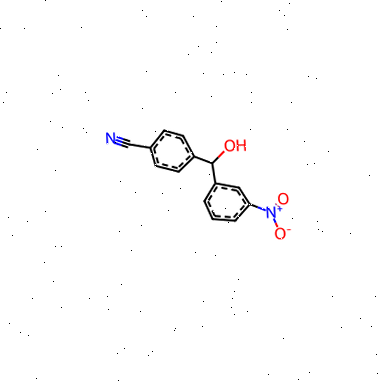 N#Cc1ccc(C(O)c2cccc([N+](=O)[O-])c2)cc1